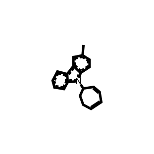 Cc1ccc2c(c1)c1ccccc1n2C1C=CC=CCC1